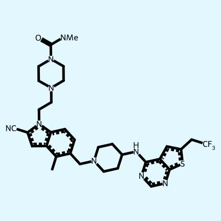 CNC(=O)N1CCN(CCn2c(C#N)cc3c(C)c(CN4CCC(Nc5ncnc6sc(CC(F)(F)F)cc56)CC4)ccc32)CC1